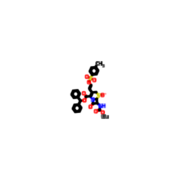 Cc1ccc(S(=O)(=O)O/C=C/C2=C(C(=O)OC(c3ccccc3)c3ccccc3)N3C(=O)C(NC(=O)OC(C)(C)C)C3[S+]([O-])C2)cc1